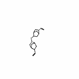 C=CC1CC2CC1CC2SC1CC2CC1CC2C=C